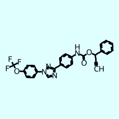 C#CC(OC(=O)Nc1ccc(-c2ncn(-c3ccc(OC(F)(F)F)cc3)n2)cc1)c1ccccc1